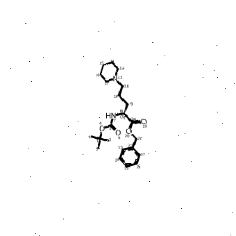 CC(C)(C)OC(=O)N[C@@H](CCCN1CCCCC1)C(=O)OCc1ccccc1